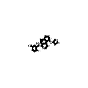 Clc1ccc(Cl)c(CNC2(c3cnccc3-c3ccccc3OC3CCOC3)CC2)c1